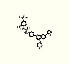 CN(C)C(=O)c1ccc(NC(=O)Nc2ccc(-c3nc(N4CCOCC4)c4ccc(-c5ccco5)cc4n3)cc2)c(Cl)c1